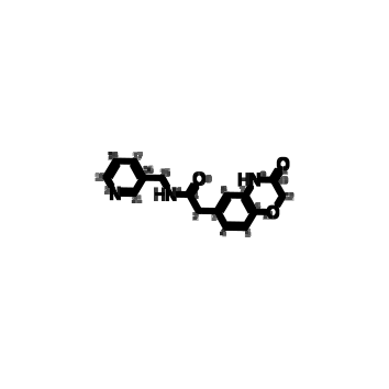 O=C(Cc1ccc2c(c1)NC(=O)CO2)NCc1cccnc1